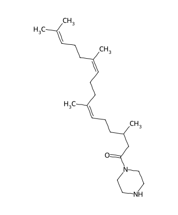 CC(C)=CCCC(C)=CCCC(C)=CCCC(C)CC(=O)N1CCNCC1